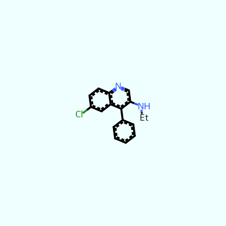 CCNc1cnc2ccc(Cl)cc2c1-c1ccccc1